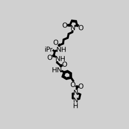 CC(C)C(NC(=O)CCCCCN1C(=O)C=CC1=O)C(=O)NCC(=O)Nc1ccc(COC(=O)N2CCNCC2)cc1